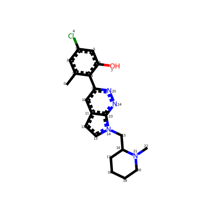 Cc1cc(Cl)cc(O)c1-c1cc2ccn(CC3CCCCN3C)c2nn1